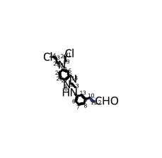 Cn1c(CNc2cccc(/C=C/C=O)c2)nc2cc(N(CCCl)CCCl)ccc21